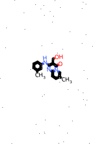 Cc1cccc(Nc2nc3ccc(C)cn3c(=O)c2CO)c1